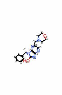 C[C@@H](c1ccccc1)n1c(O)nc2ncc(CN3CCOCC3)nc21